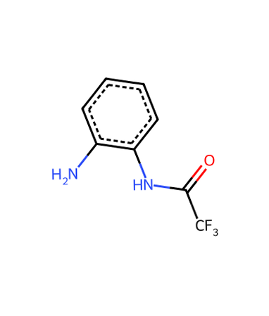 Nc1ccccc1NC(=O)C(F)(F)F